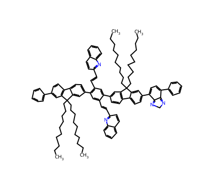 CCCCCCCCCCC1(CCCCCCCCCC)c2cc(-c3ccccc3)ccc2-c2ccc(-c3cc(/C=C/c4ccc5ccccc5n4)c(-c4ccc5c(c4)C(CCCCCCCCCC)(CCCCCCCCCC)c4cc(-c6ccc(-c7ccccc7)c7c6=NCN=7)ccc4-5)cc3/C=C/c3ccc4ccccc4n3)cc21